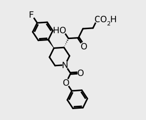 O=C(O)CCC(=O)C(O)[C@@H]1CN(C(=O)Oc2ccccc2)CC[C@H]1c1ccc(F)cc1